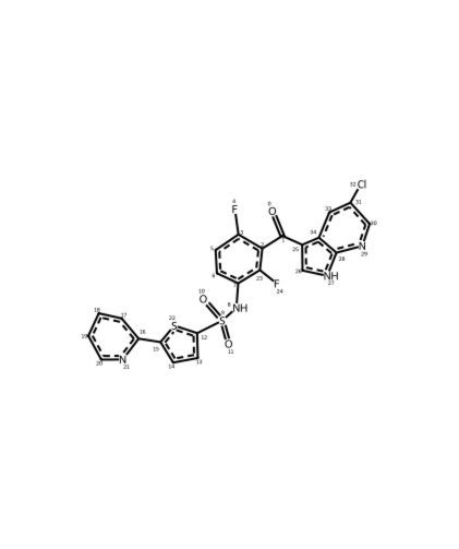 O=C(c1c(F)ccc(NS(=O)(=O)c2ccc(-c3ccccn3)s2)c1F)c1c[nH]c2ncc(Cl)cc12